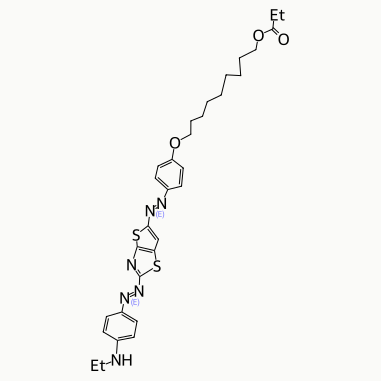 CCNc1ccc(/N=N/c2nc3sc(/N=N/c4ccc(OCCCCCCCCCOC(=O)CC)cc4)cc3s2)cc1